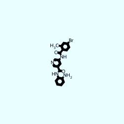 Cc1cc(Br)ccc1C(=O)Nc1cncc(C(=O)Nc2ccccc2N)c1